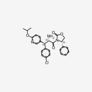 CC(C)Oc1ccc([C@H](c2ccc(Cl)cc2)[C@H](N)C(=O)N2C(=O)OC[C@@H]2c2ccccc2)cn1